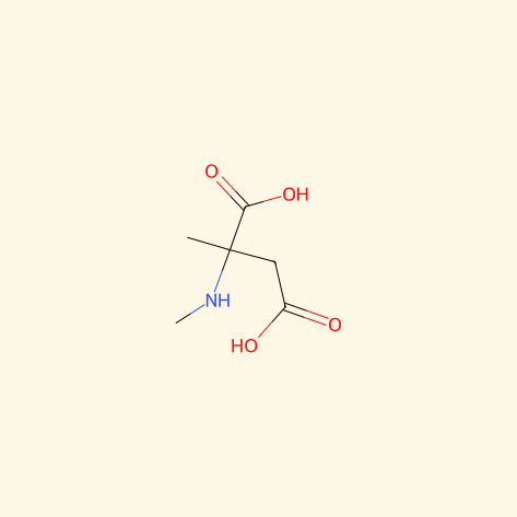 CNC(C)(CC(=O)O)C(=O)O